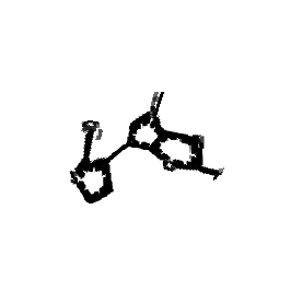 Fc1nc2[nH]cc(-c3ccsc3C(F)(F)F)c2o1